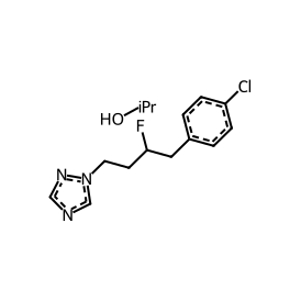 CC(C)O.FC(CCn1cncn1)Cc1ccc(Cl)cc1